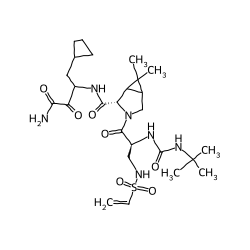 C=CS(=O)(=O)NC[C@H](NC(=O)NC(C)(C)C)C(=O)N1CC2C([C@H]1C(=O)NC(CC1CCC1)C(=O)C(N)=O)C2(C)C